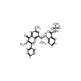 Cc1cc([C@@H](C)Nc2ccccc2C(=O)NS(C)(=O)=O)c2oc(-c3cccnc3)c(C)c(=O)c2c1